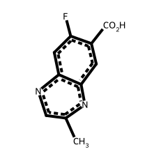 Cc1cnc2cc(F)c(C(=O)O)cc2n1